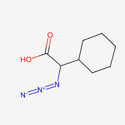 [N-]=[N+]=NC(C(=O)O)C1CCCCC1